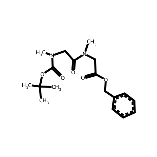 CN(CC(=O)OCc1ccccc1)C(=O)CN(C)C(=O)OC(C)(C)C